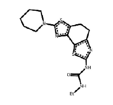 CCNC(=O)Nc1nc2c(s1)-c1nc(N3CCCCC3)sc1CC2